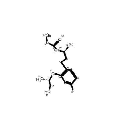 CC[C@@H](CCc1ccc(F)cc1O[C@@H](C)CO)NC(=O)OC(C)(C)C